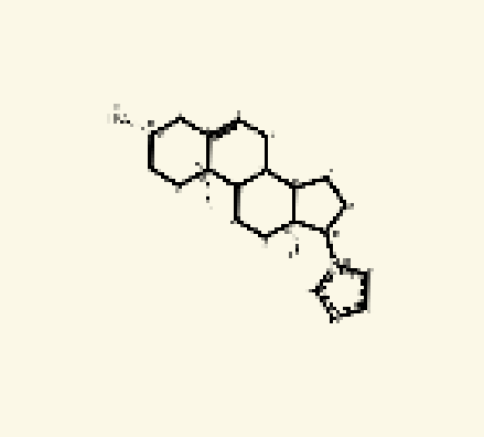 C[C@]12CCC3C(CC=C4C[C@@H](O)CC[C@@]43C)C1CCC2n1ccnc1